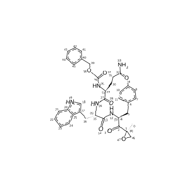 C[C@]1(C(=O)[C@H](Cc2ccccc2)NC(=O)[C@H](Cc2c[nH]c3ccccc23)NC(=O)[C@H](CCC(N)=O)NC(=O)OCc2ccccc2)CO1